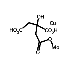 O=C(O)CC(O)(CC(=O)[O][Mo])C(=O)O.[Cu]